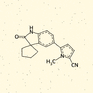 Cn1c(C#N)ccc1-c1ccc2c(c1)C1(CCCC1)C(=O)N2